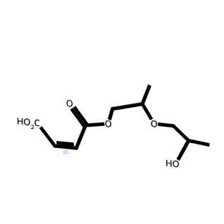 CC(O)COC(C)COC(=O)/C=C\C(=O)O